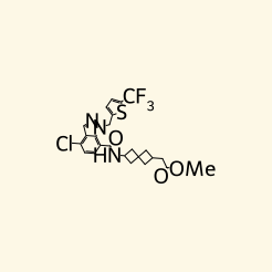 COC(=O)CC1CC2(C1)CC(NC(=O)c1ccc(Cl)c3cnn(Cc4ccc(C(F)(F)F)s4)c13)C2